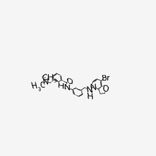 CN(C)Cc1cccc(C(=O)Nc2cccc(CNN3C=CC(Br)=C4OCCC43)c2)c1